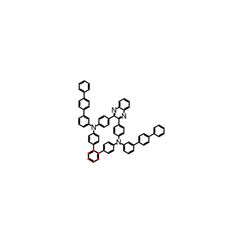 c1ccc(-c2ccc(-c3cccc(N(c4ccc(-c5ccccc5)cc4)c4ccc(-c5nc6ccccc6nc5-c5ccc(N(c6ccc(-c7ccccc7)cc6)c6cccc(-c7ccc(-c8ccccc8)cc7)c6)cc5)cc4)c3)cc2)cc1